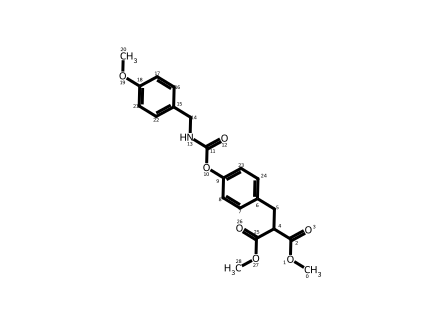 COC(=O)C(Cc1ccc(OC(=O)NCc2ccc(OC)cc2)cc1)C(=O)OC